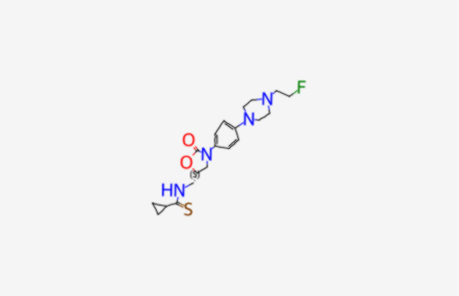 O=C1O[C@@H](CNC(=S)C2CC2)CN1c1ccc(N2CCN(CCF)CC2)cc1